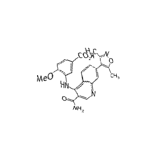 COc1ccc(C(=O)O)cc1Nc1c(C(N)=O)cnc2cc(-c3c(C)noc3C)ccc12